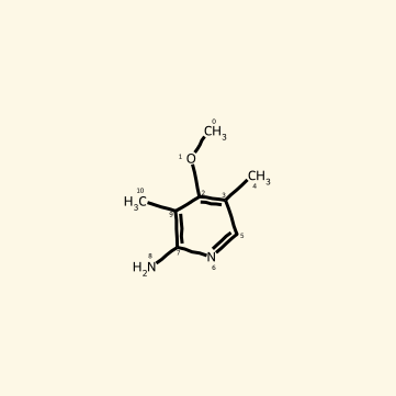 COc1c(C)cnc(N)c1C